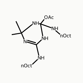 CCCCCCCCNC1=NC(C)(C)NC(NCCCCCCCC)(OC(C)=O)N1